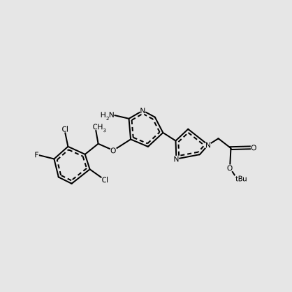 CC(Oc1cc(-c2cn(CC(=O)OC(C)(C)C)cn2)cnc1N)c1c(Cl)ccc(F)c1Cl